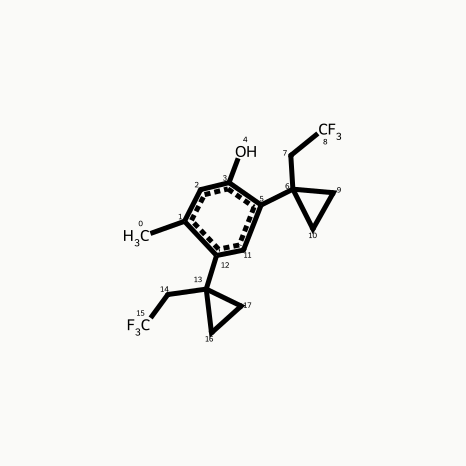 Cc1cc(O)c(C2(CC(F)(F)F)CC2)cc1C1(CC(F)(F)F)CC1